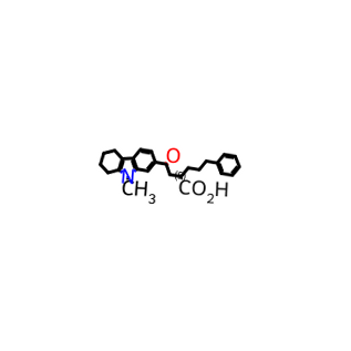 Cn1c2c(c3ccc(C(=O)C[C@H](CCCc4ccccc4)C(=O)O)cc31)CCCC2